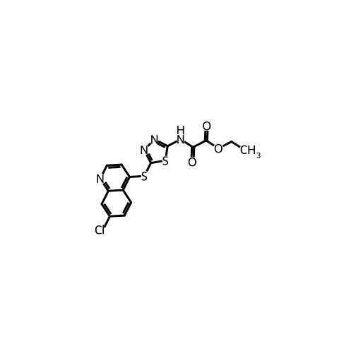 CCOC(=O)C(=O)Nc1nnc(Sc2ccnc3cc(Cl)ccc23)s1